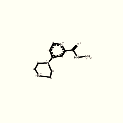 NNC(=O)c1cc(N2CCNCC2)ccn1